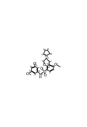 COc1ccc(S(=O)(=O)Nc2cc(Cl)cc(Cl)c2)c2c1C[C@@H](N1CCCC1)CO2